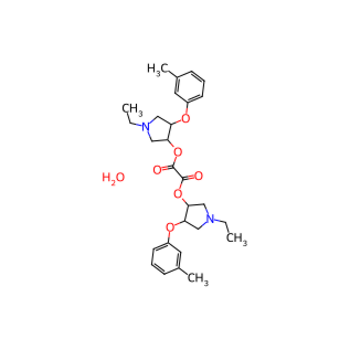 CCN1CC(OC(=O)C(=O)OC2CN(CC)CC2Oc2cccc(C)c2)C(Oc2cccc(C)c2)C1.O